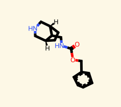 O=C(NCC1[C@@H]2CC[C@H]1CNC2)OCc1ccccc1